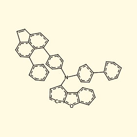 C1=Cc2ccc(-c3ccc(N(c4ccc(-c5ccccc5)cc4)c4cccc5oc6ccccc6c45)cc3)c3c(-c4ccccc4)ccc1c23